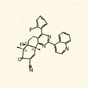 C[C@@H]1C(=O)C(C#N)=C[C@@]2(C)c3nc(-c4ccnc5ccccc45)nc(-c4ccccc4F)c3CC[C@@H]12